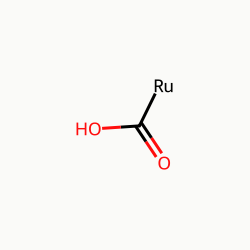 O=[C](O)[Ru]